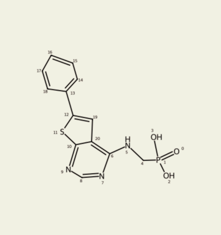 O=P(O)(O)CNc1ncnc2sc(-c3ccccc3)cc12